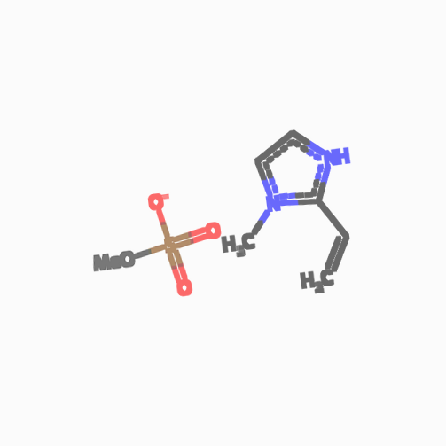 C=Cc1[nH]cc[n+]1C.COS(=O)(=O)[O-]